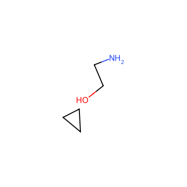 C1CC1.NCCO